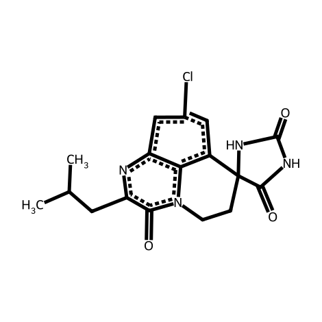 CC(C)Cc1nc2cc(Cl)cc3c2n(c1=O)CCC31NC(=O)NC1=O